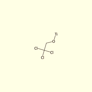 ClC(Cl)(Cl)C[O][Ti]